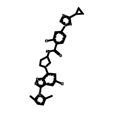 Cc1ccc(C)n1-c1noc2c(N3CCC(NC(=O)c4ccc(-n5cnc(C6CC6)n5)cc4Cl)C3)cc(Cl)cc12